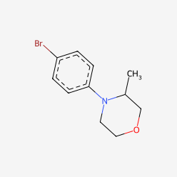 CC1COCCN1c1ccc(Br)cc1